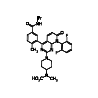 Cc1ccc(C(=O)NC(C)C)cc1-c1nc(N2CCC(N(C)C(=O)O)CC2)nc2c1ccc(=O)n2-c1c(F)cccc1F